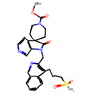 CC(C)(C)OC(=O)N1CCC2(CC1)C(=O)N(Cc1ncc3ccccc3c1CCCS(C)(=O)=O)c1cnccc12